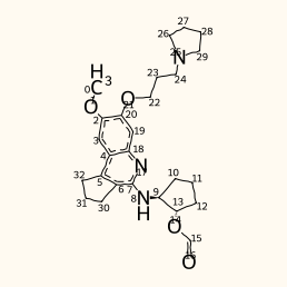 COc1cc2c3c(c(N[C@H]4CCC[C@@H]4OC=O)nc2cc1OCCCN1CCCC1)CCC3